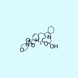 Cc1c(Cc2ccc(S(=O)(=O)N3CCOCC3)cc2)c2c(n1CC(=O)O)CCCC2